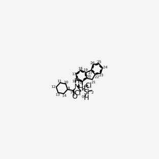 C[SiH](C)[Hf]([Cl])([Cl])([NH]C(=O)C1CCCCC1)[c]1cccc2c1Cc1ccccc1-2